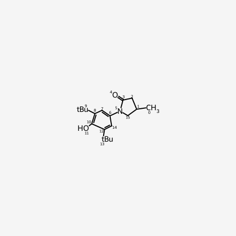 CC1CC(=O)N(c2cc(C(C)(C)C)c(O)c(C(C)(C)C)c2)C1